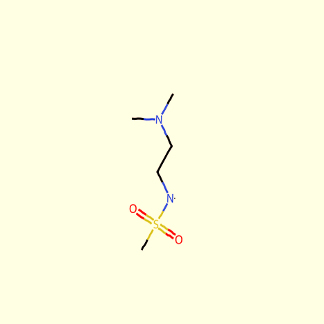 CN(C)CC[N]S(C)(=O)=O